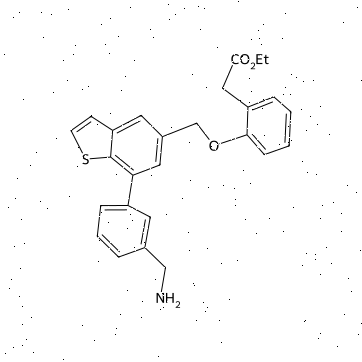 CCOC(=O)Cc1ccccc1OCc1cc(-c2cccc(CN)c2)c2sccc2c1